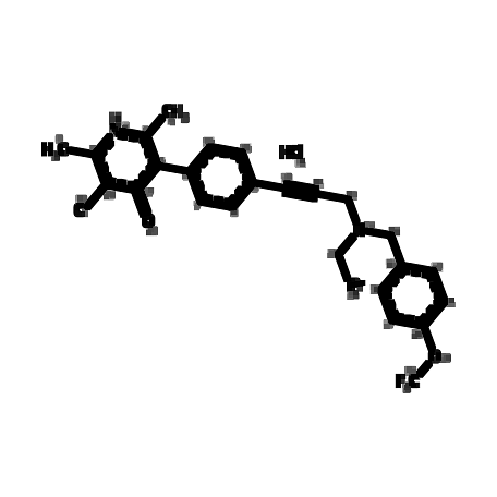 Cc1[nH]c(C)c(-c2ccc(C#CCN(Cc3ccc(OC(F)(F)F)cc3)CC(C)C)cc2)c(=O)c1Cl.Cl